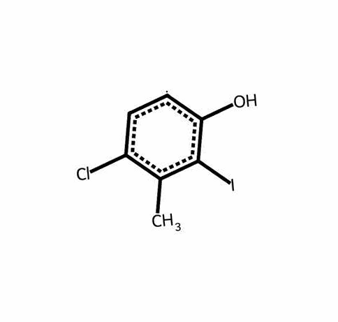 Cc1c(Cl)c[c]c(O)c1I